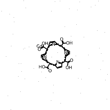 O=C(O)c1c2nc(c(C(=O)O)c3ccc([nH]3)c(C(=O)O)c3nc(c(C(=O)O)c4ccc1[nH]4)C=C3)C=C2.[Gd]